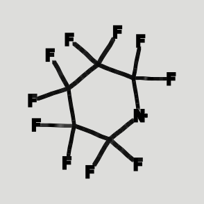 FC1(F)[N]C(F)(F)C(F)(F)C(F)(F)C1(F)F